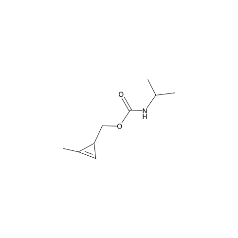 CC1=CC1COC(=O)NC(C)C